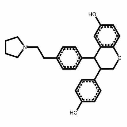 Oc1ccc(C2COc3ccc(O)cc3C2c2ccc(CCN3CCCC3)cc2)cc1